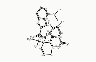 CN(C(=O)c1cc2cccc(C(F)F)n2c1)[C@@]1(C(C)(C)C)C=NCc2[nH]c(=O)c3cc(F)c(F)cc3c21